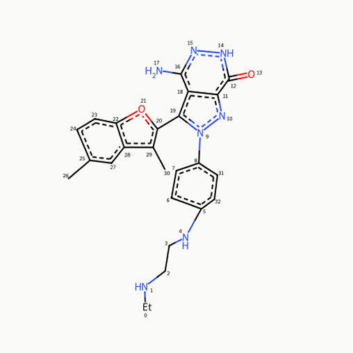 CCNCCNc1ccc(-n2nc3c(=O)[nH]nc(N)c3c2-c2oc3ccc(C)cc3c2C)cc1